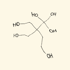 OCCC(CO)(CO)C(O)(O)O